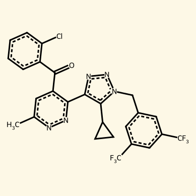 Cc1cc(C(=O)c2ccccc2Cl)c(-c2nnn(Cc3cc(C(F)(F)F)cc(C(F)(F)F)c3)c2C2CC2)nn1